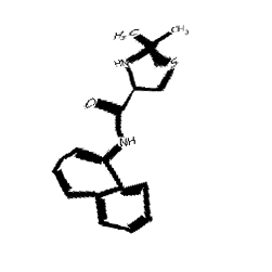 CC1(C)N[C@H](C(=O)Nc2cccc3ccccc23)CS1